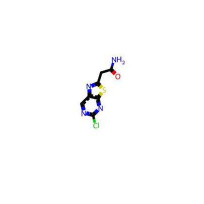 NC(=O)Cc1nc2cnc(Cl)nc2s1